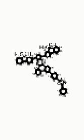 CC1(C)c2ccccc2-c2ccc(-c3ccc(-c4ccc5c(c4)C(C)(C)c4ccccc4-5)c4nc(-c5ccc(-c6ccc(-c7nnc(-c8ccccc8)o7)cc6)cc5)c(-c5ccccc5)nc34)cc21